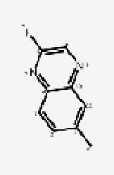 Cc1ccc2nc(F)cnc2c1